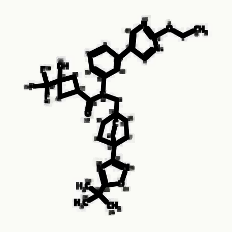 CCOc1ncc(-c2cccc(N(CC34CCC(c5noc(C(C)(C)C)n5)(CC3)CC4)C(=O)C3CC(O)(C(F)(F)F)C3)c2)cn1